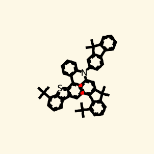 CC(C)(C)c1cccc2c1-c1ccc(N(c3ccc4c(c3)C(C)(C)c3ccccc3-4)c3ccccc3-c3cccc4c3sc3c(C(C)(C)C)cccc34)cc1C2(C)C